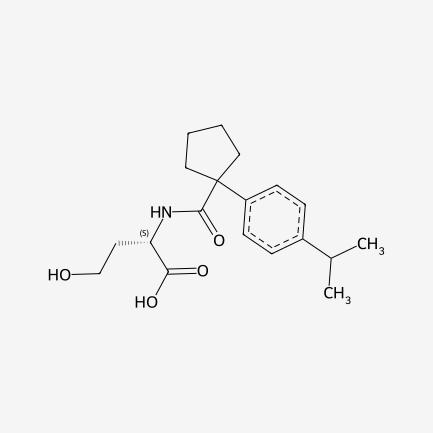 CC(C)c1ccc(C2(C(=O)N[C@@H](CCO)C(=O)O)CCCC2)cc1